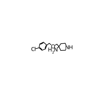 NC1(COCc2ccc(Cl)cc2)CCNCC1